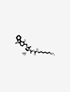 Cc1n(CC2CCc3c(c4ccccc4n3C)C2=O)cc[n+]1C(C)OC(=O)NCCCCCCN.Cl.[Cl-]